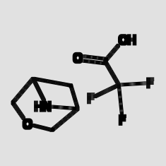 C1OCC2CC1N2.O=C(O)C(F)(F)F